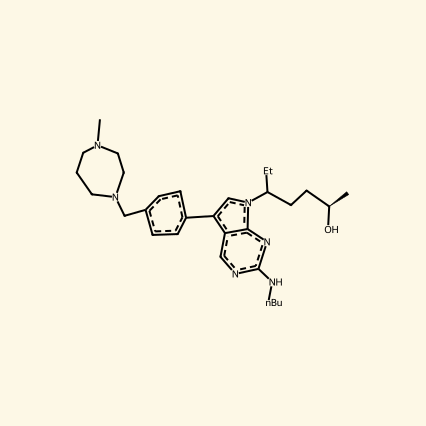 CCCCNc1ncc2c(-c3ccc(CN4CCCN(C)CC4)cc3)cn(C(CC)CC[C@@H](C)O)c2n1